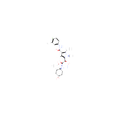 CCn1c(C)c(C(=O)Nc2ccc(F)c(C)c2)c(C)c1C(=O)C(=O)N[C@]1(C)CC[C@@H](O)CC1